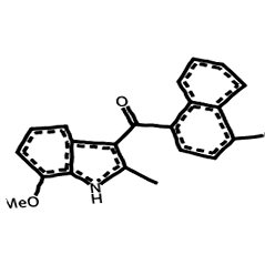 COc1cccc2c(C(=O)c3ccc(Cl)c4ccccc34)c(C)[nH]c12